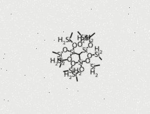 C[SiH2]O[Si](O[SiH2]C)(O[SiH2]C)C([Si](O[SiH2]C)(O[SiH2]C)O[SiH2]C)[Si](O[SiH2]C)(O[SiH2]C)O[SiH2]C